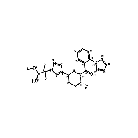 COC(O)C(C)(C)n1cc([C@@H]2CC[C@@H](C)N(C(=O)c3ccccc3-n3nccn3)C2)cn1